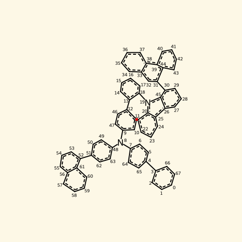 c1ccc(-c2ccc(N(c3ccc(-c4ccccc4-n4c5ccccc5c5cccc(-c6cc7ccccc7c7ccccc67)c54)cc3)c3ccc(-c4cccc5ccccc45)cc3)cc2)cc1